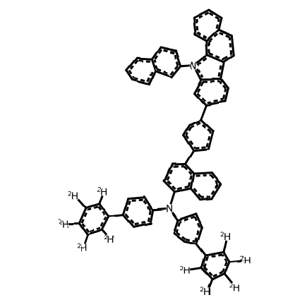 [2H]c1c([2H])c([2H])c(-c2ccc(N(c3ccc(-c4c([2H])c([2H])c([2H])c([2H])c4[2H])cc3)c3ccc(-c4ccc(-c5ccc6c7ccc8ccccc8c7n(-c7ccc8ccccc8c7)c6c5)cc4)c4ccccc34)cc2)c([2H])c1[2H]